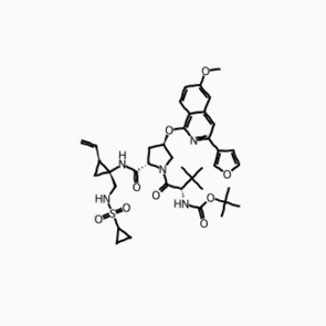 C=C[C@@H]1C[C@@]1(CNS(=O)(=O)C1CC1)NC(=O)[C@@H]1C[C@@H](Oc2nc(-c3ccoc3)cc3cc(OC)ccc23)CN1C(=O)[C@@H](NC(=O)OC(C)(C)C)C(C)(C)C